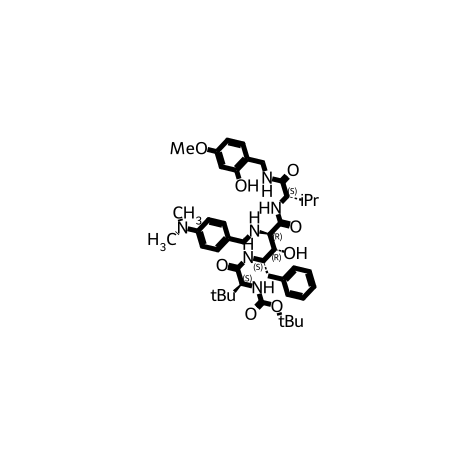 COc1ccc(CNC(=O)[C@@H](NC(=O)[C@H](NCc2ccc(N(C)C)cc2)[C@H](O)[C@H](Cc2ccccc2)NC(=O)[C@@H](NC(=O)OC(C)(C)C)C(C)(C)C)C(C)C)c(O)c1